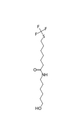 O=C(CCCCCCSC(F)(F)F)NCCCCCCO